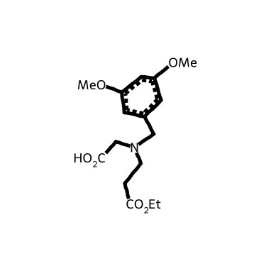 CCOC(=O)CCN(CC(=O)O)Cc1cc(OC)cc(OC)c1